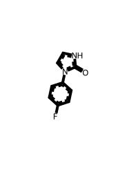 O=c1[nH]ccn1-c1ccc(F)cc1